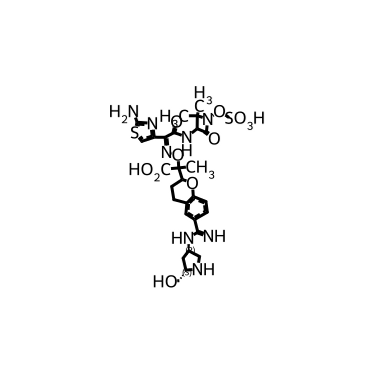 CC(ON=C(C(=O)NC1C(=O)N(OS(=O)(=O)O)C1(C)C)c1csc(N)n1)(C(=O)O)C1CCc2cc(C(=N)N[C@H]3CN[C@H](CO)C3)ccc2O1